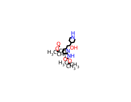 CC(C)(C)OC(=O)Nc1cccc(CC(O)C2CCNCC2)n1.CC(C)(C)OC=O